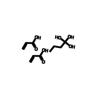 C=CC(=O)O.C=CC(=O)O.CCCC(O)(O)O